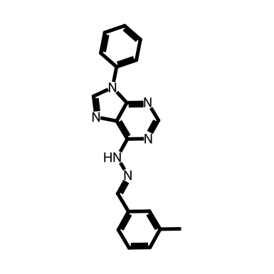 Cc1cccc(C=NNc2ncnc3c2ncn3-c2ccccc2)c1